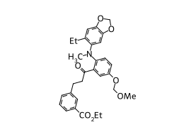 CCOC(=O)c1cccc(CCC(=O)c2cc(OCOC)ccc2N(C)c2cc3c(cc2CC)OCO3)c1